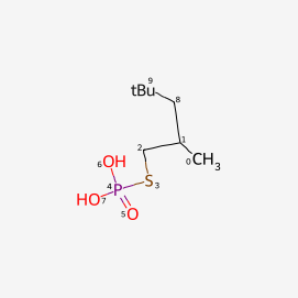 CC(CSP(=O)(O)O)CC(C)(C)C